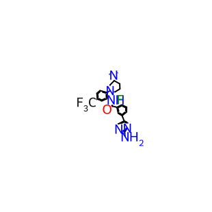 CN(C)[C@H]1CCCN(c2ccc(C(F)(F)F)cc2NC(=O)c2cc(-c3cnc(N)nc3)ccc2F)C1